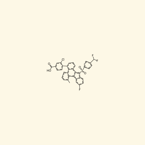 Cc1cccc2c3c(-c4ccc(C(=O)O)cc4Cl)cccc3c3c(c4cc(F)ccc4n3S(=O)(=O)c3ccc(C(F)F)cc3)c12